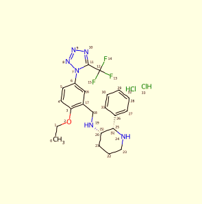 CCOc1ccc(-n2nnnc2C(F)(F)F)cc1CN[C@H]1CCCN[C@H]1c1ccccc1.Cl.Cl